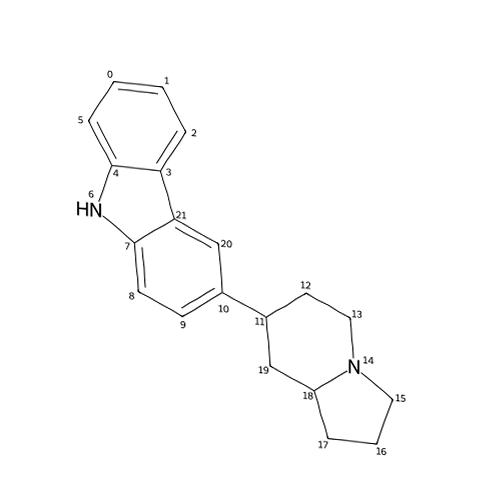 c1ccc2c(c1)[nH]c1ccc(C3CCN4CCCC4C3)cc12